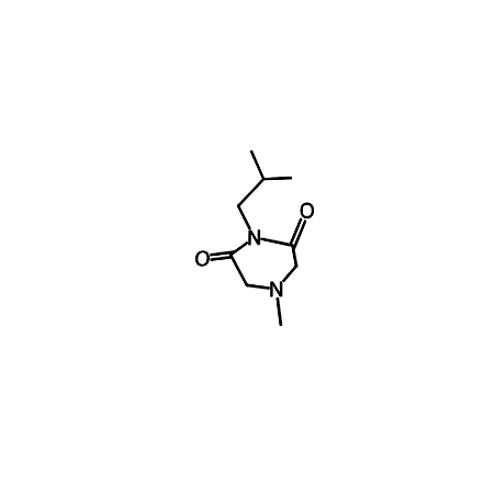 CC(C)CN1C(=O)CN(C)CC1=O